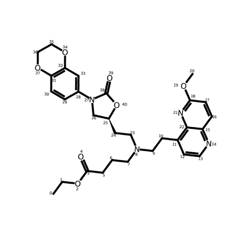 CCOC(=O)CCCN(CCc1ccnc2ccc(OC)nc12)CC[C@H]1CN(c2ccc3c(c2)OCCO3)C(=O)O1